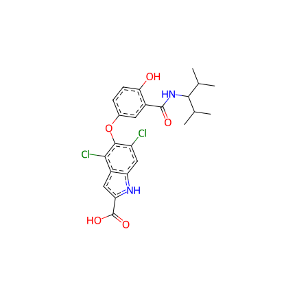 CC(C)C(NC(=O)c1cc(Oc2c(Cl)cc3[nH]c(C(=O)O)cc3c2Cl)ccc1O)C(C)C